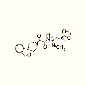 C=N/C(=C\C=C(/C)Cl)NC(=O)C(=O)N1CCC2(CC1)OCc1ccccc12